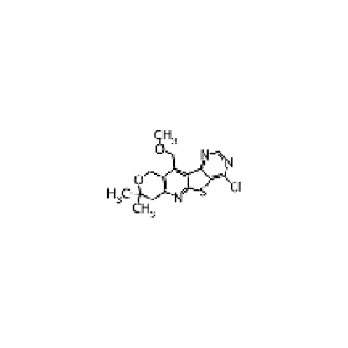 COCc1c2c(nc3sc4c(Cl)ncnc4c13)CC(C)(C)OC2